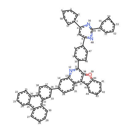 c1ccc(-c2cc(-c3ccc(-c4nc5cc(-c6ccc7c8ccccc8c8ccccc8c7c6)ccc5c5c4oc4ccccc45)cc3)nc(-c3ccccc3)n2)cc1